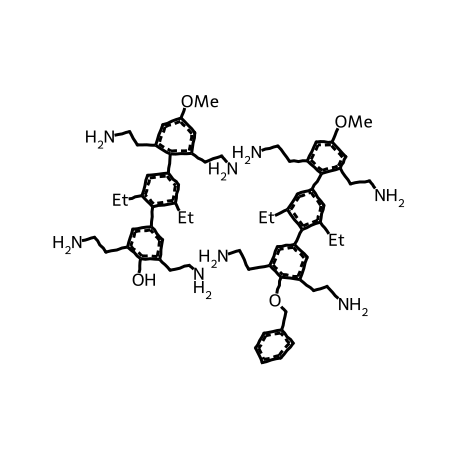 CCc1cc(-c2c(CCN)cc(OC)cc2CCN)cc(CC)c1-c1cc(CCN)c(O)c(CCN)c1.CCc1cc(-c2c(CCN)cc(OC)cc2CCN)cc(CC)c1-c1cc(CCN)c(OCc2ccccc2)c(CCN)c1